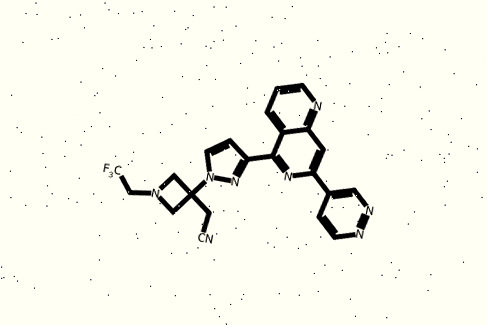 N#CCC1(n2ccc(-c3nc(-c4ccnnc4)cc4ncccc34)n2)CN(CC(F)(F)F)C1